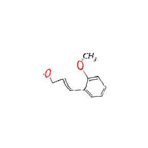 COc1ccccc1C=CC[O]